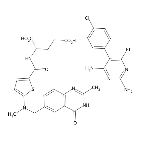 CCc1nc(N)nc(N)c1-c1ccc(Cl)cc1.Cc1nc2ccc(CN(C)c3ccc(C(=O)N[C@@H](CCC(=O)O)C(=O)O)s3)cc2c(=O)[nH]1